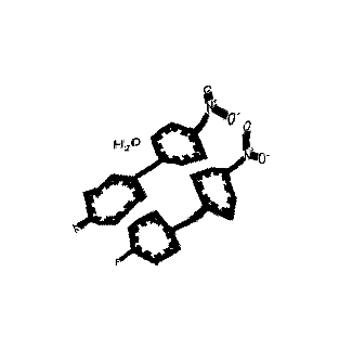 O.O=[N+]([O-])c1ccc(-c2ccc(F)cc2)cc1.O=[N+]([O-])c1ccc(-c2ccc(F)cc2)cc1